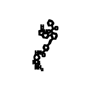 Nc1nc2c(s1)CC(NC(=O)c1ccc(C#Cc3cccc(C(O)C(=O)c4ccccc4)c3-c3ccc4cc[nH]c4c3)cc1)CC2